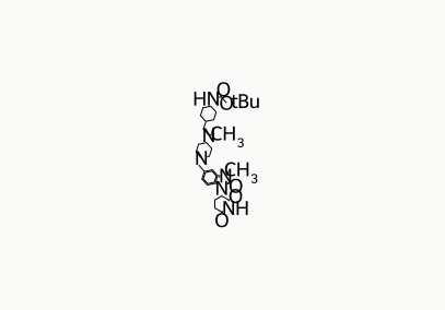 CN(CC1CCC(NC(=O)OC(C)(C)C)CC1)C1CCN(Cc2ccc3c(c2)n(C)c(=O)n3C2CCC(=O)NC2=O)CC1